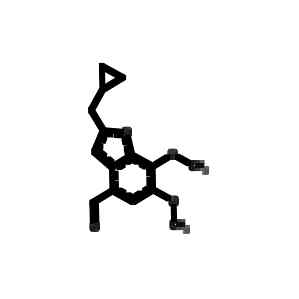 COc1cc(C=O)c2cc(CC3CC3)oc2c1OC